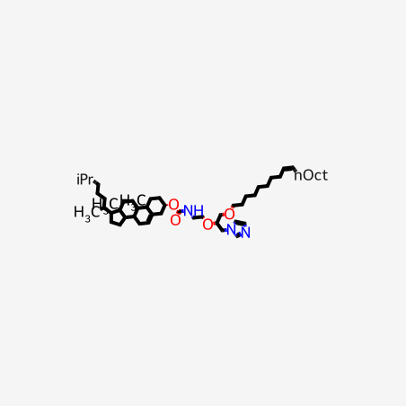 CCCCCCCC/C=C\CCCCCCCCOCC(Cn1ccnc1)OCCNC(=O)O[C@H]1CC[C@@]2(C)C(=CCC3C4CCC(C(C)CCCC(C)C)[C@@]4(C)CCC32)C1